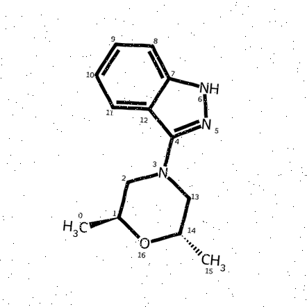 C[C@H]1CN(c2n[nH]c3ccccc23)C[C@H](C)O1